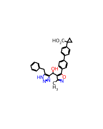 Cc1noc(-c2ccc(-c3ccc(C4(C(=O)O)CC4)cc3)cc2)c1C(O)c1nn[nH]c1Cc1ccccc1